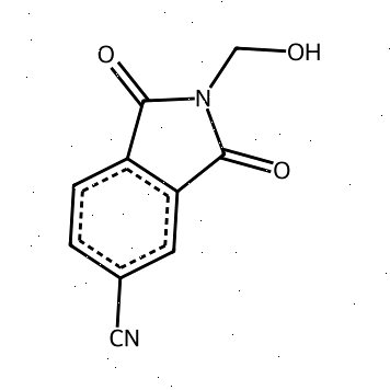 N#Cc1ccc2c(c1)C(=O)N(CO)C2=O